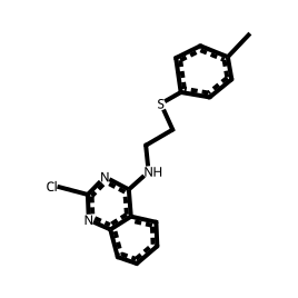 Cc1ccc(SCCNc2nc(Cl)nc3ccccc23)cc1